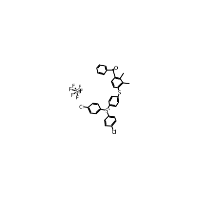 Cc1c(Sc2ccc([S+](c3ccc(Cl)cc3)c3ccc(Cl)cc3)cc2)ccc(C(=O)c2ccccc2)c1C.[F][Sb-]([F])([F])([F])([F])[F]